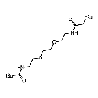 CC(C)(C)CC(=O)NCCOCCOCCNC(=O)C(C)(C)C